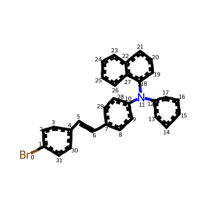 Brc1ccc(C=Cc2ccc(N(c3ccccc3)c3cccc4ccccc34)cc2)cc1